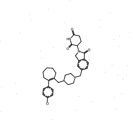 O=C1CCC(N2Cc3cc(CN4CCN(CC5=C(c6ccc(Cl)cc6)CCCCC5)CC4)ccc3C2=O)C(=O)N1